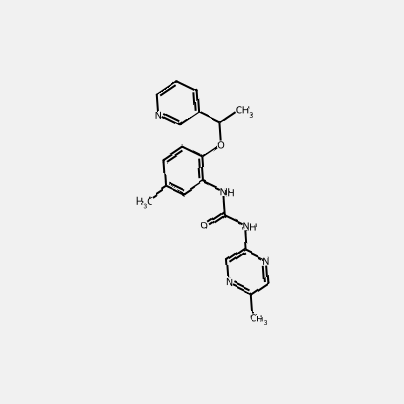 Cc1ccc(OC(C)c2cccnc2)c(NC(=O)Nc2cnc(C)cn2)c1